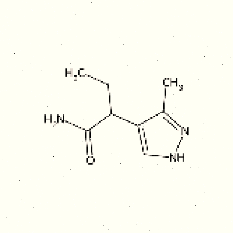 CCC(C(N)=O)c1c[nH]nc1C